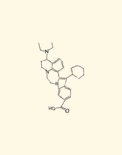 CCN(CC)C1CCN2CCn3c(c(C4CCCCC4)c4ccc(C(=O)O)cc43)-c3cccc1c32